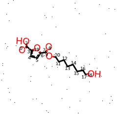 O=C(O)c1ccc(C(=O)OCCCCCCCCO)o1